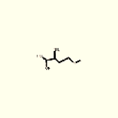 CSCCC(N)C(O)O